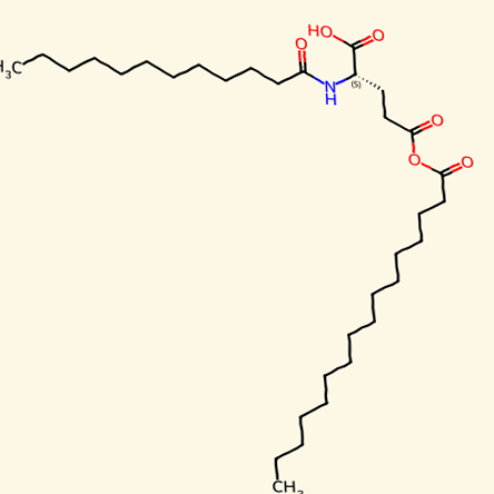 CCCCCCCCCCCCCCCC(=O)OC(=O)CC[C@H](NC(=O)CCCCCCCCCCC)C(=O)O